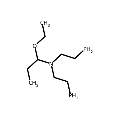 CCOC(CC)N(CCP)CCP